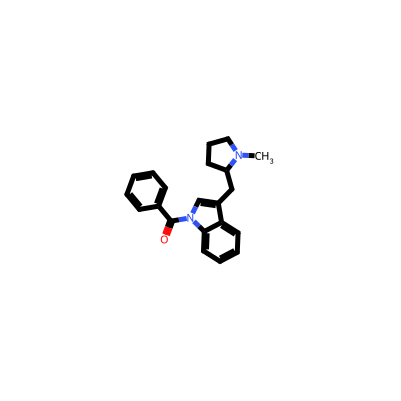 CN1CCCC1Cc1cn(C(=O)c2ccccc2)c2ccccc12